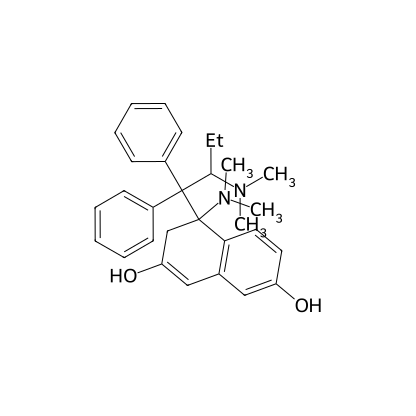 CCC(N(C)C)C(c1ccccc1)(c1ccccc1)C1(N(C)C)CC(O)=Cc2cc(O)ccc21